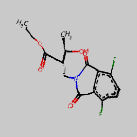 CCOC(=O)[C@@H](CN1C(=O)c2c(F)ccc(F)c2C1=O)[C@@H](C)O